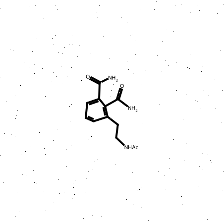 CC(=O)NCCc1cccc(C(N)=O)c1C(N)=O